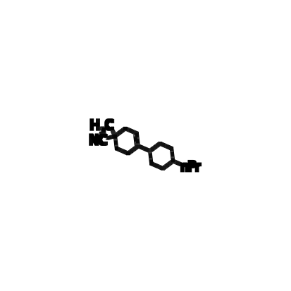 CCCC1CCC(C2=CCC(C)(C#N)CC2)CC1